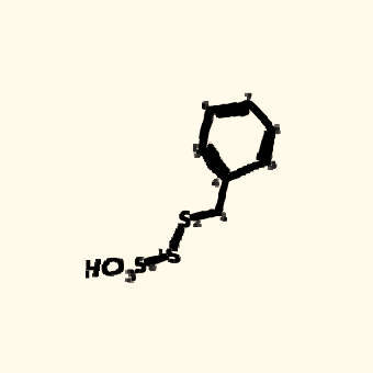 O=S(=O)(O)SSCc1ccccc1